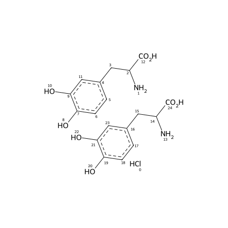 Cl.NC(Cc1ccc(O)c(O)c1)C(=O)O.NC(Cc1ccc(O)c(O)c1)C(=O)O